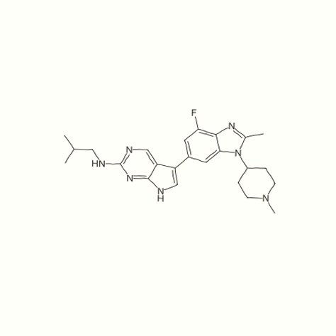 Cc1nc2c(F)cc(-c3c[nH]c4nc(NCC(C)C)ncc34)cc2n1C1CCN(C)CC1